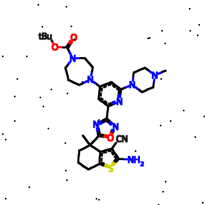 CN1CCN(c2cc(N3CCCN(C(=O)OC(C)(C)C)CC3)cc(-c3noc(C4(C)CCCc5sc(N)c(C#N)c54)n3)n2)CC1